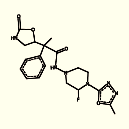 Cc1nnc(N2CCN(NC(=O)C(C)(c3ccccc3)C3CNC(=O)O3)CC2F)o1